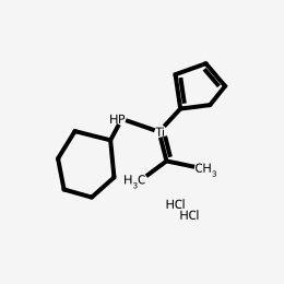 C[C](C)=[Ti]([PH]C1CCCCC1)[C]1=CC=CC1.Cl.Cl